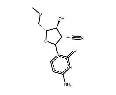 COC[C@H]1OC(n2ccc(N)nc2=O)[C@@H](C#N)[C@@H]1O